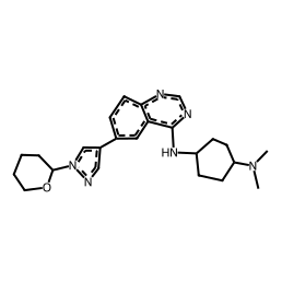 CN(C)C1CCC(Nc2ncnc3ccc(-c4cnn(C5CCCCO5)c4)cc23)CC1